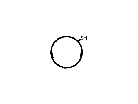 SC1CC=CCCCCCCC=CCCCCCC1